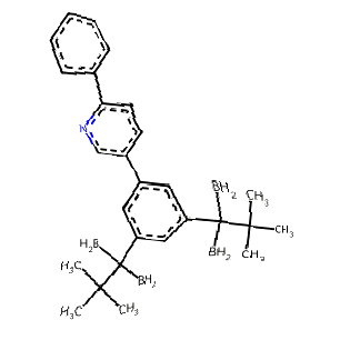 BC(B)(c1cc(-c2ccc(-c3ccccc3)nc2)cc(C(B)(B)C(C)(C)C)c1)C(C)(C)C